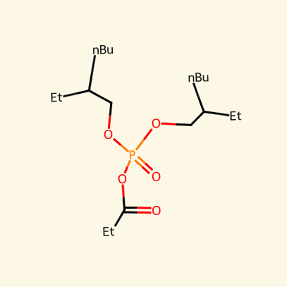 CCCCC(CC)COP(=O)(OCC(CC)CCCC)OC(=O)CC